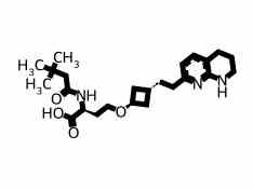 CC(C)(C)CC(=O)N[C@@H](CCO[C@H]1C[C@H](CCc2ccc3c(n2)NCCC3)C1)C(=O)O